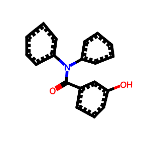 O=C(c1cccc(O)c1)N(c1ccccc1)c1ccccc1